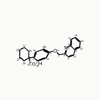 O=C(O)C1(c2ccc(OCc3ccc4ccccc4n3)cc2)CCCCC1